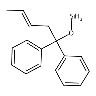 CC=CCC(O[SiH3])(c1ccccc1)c1ccccc1